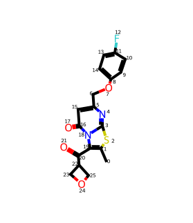 Cc1sc2nc(COc3ccc(F)cc3)cc(=O)n2c1C(=O)C1COC1